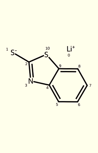 [Li+].[S-]c1nc2ccccc2s1